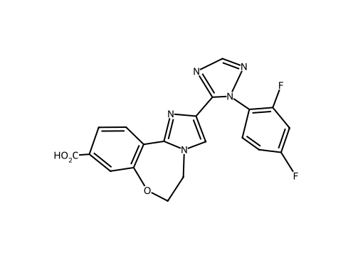 O=C(O)c1ccc2c(c1)OCCn1cc(-c3ncnn3-c3ccc(F)cc3F)nc1-2